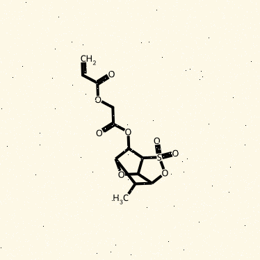 C=CC(=O)OCC(=O)OC1C2OC3C(OS(=O)(=O)C13)C2C